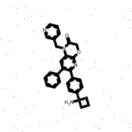 NC1(c2ccc(-c3nc4c(cc3-c3ccccc3)N(Cc3cccnc3)C(=O)CO4)cc2)CCC1